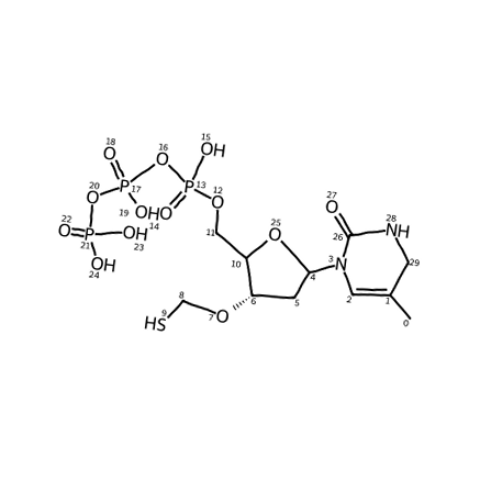 CC1=CN(C2C[C@H](OCS)C(COP(=O)(O)OP(=O)(O)OP(=O)(O)O)O2)C(=O)NC1